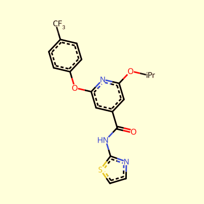 CC(C)Oc1cc(C(=O)Nc2nccs2)cc(Oc2ccc(C(F)(F)F)cc2)n1